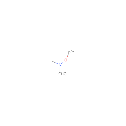 CCCON(C)C=O